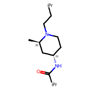 CC(C)CCN1CC[C@H](NC(=O)C(C)C)C[C@H]1C